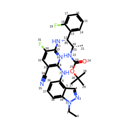 CCn1ncc2c(Nc3nc(N[C@H](c4ccccc4F)[C@H](C)NC(=O)OC(C)(C)C)c(F)cc3C#N)cccc21